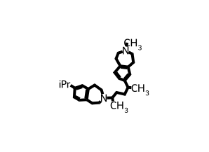 CC(C)c1ccc2c(c1)CCN(C(C)CCC(C)c1ccc3c(c1)CCN(C)CC3)CC2